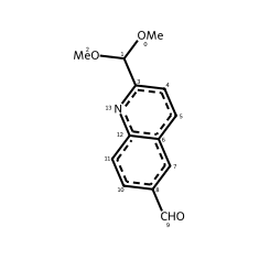 COC(OC)c1ccc2cc(C=O)ccc2n1